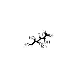 O=C(O)C(O)C(O)C(O)C(O)CO.[Mn]